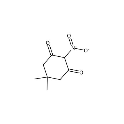 CC1(C)CC(=O)C([N+](=O)[O-])C(=O)C1